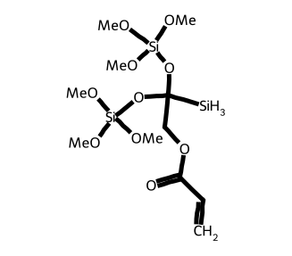 C=CC(=O)OCC([SiH3])(O[Si](OC)(OC)OC)O[Si](OC)(OC)OC